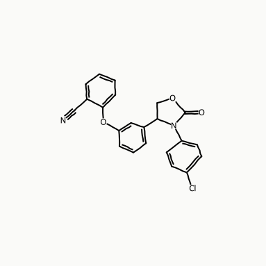 N#Cc1ccccc1Oc1cccc(C2COC(=O)N2c2ccc(Cl)cc2)c1